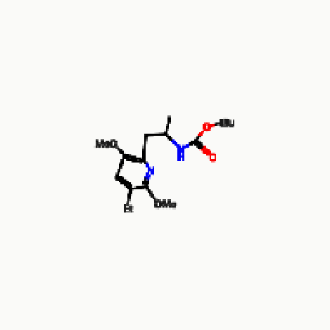 CCc1cc(OC)c(CC(C)NC(=O)OC(C)(C)C)nc1OC